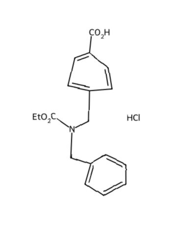 CCOC(=O)N(Cc1ccccc1)Cc1ccc(C(=O)O)cc1.Cl